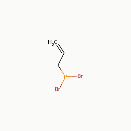 C=CCP(Br)Br